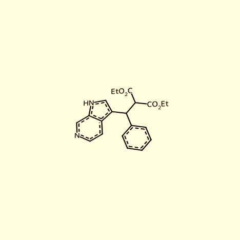 CCOC(=O)C(C(=O)OCC)C(c1ccccc1)c1c[nH]c2cnccc12